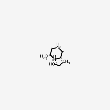 C1CNCCN1.CCO.O